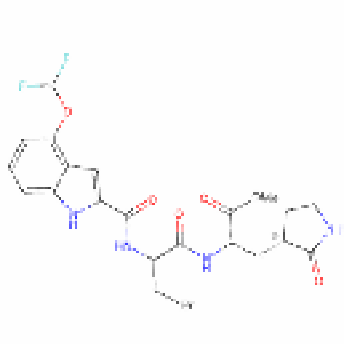 COC(=O)C(C[C@@H]1CCNC1=O)NC(=O)C(CC(C)C)NC(=O)c1cc2c(OC(F)F)cccc2[nH]1